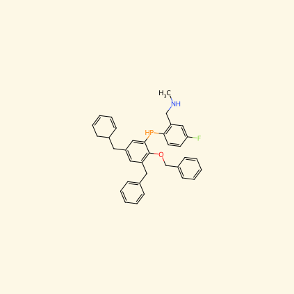 CNCc1cc(F)ccc1Pc1cc(CC2C=CC=CC2)cc(Cc2ccccc2)c1OCc1ccccc1